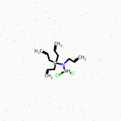 C=CCN([SiH](Cl)Cl)[Si](CC=C)(CC=C)CC=C